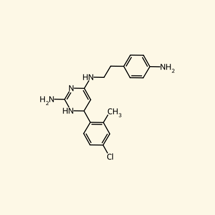 Cc1cc(Cl)ccc1C1C=C(NCCc2ccc(N)cc2)N=C(N)N1